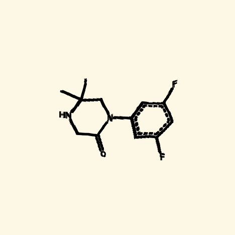 CC1(C)CN(c2cc(F)cc(F)c2)C(=O)CN1